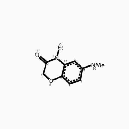 CCN1C(=O)COc2ccc(NC)cc21